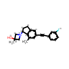 Cc1cc(C#Cc2cccc(F)c2)cc2c1C(N1CC(C)(O)C1)CC2